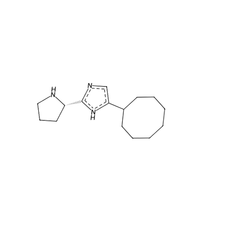 c1nc([C@@H]2CCCN2)[nH]c1C1CCCCCCC1